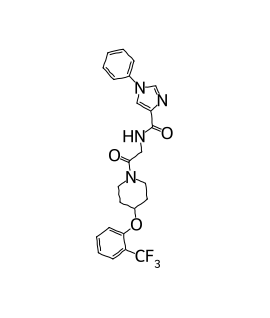 O=C(NCC(=O)N1CCC(Oc2ccccc2C(F)(F)F)CC1)c1cn(-c2ccccc2)cn1